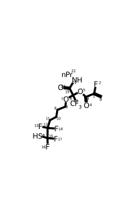 C=C(F)C(=O)OC(OCCCCC(F)(F)C(F)(F)S)(C(=O)NCCC)C(F)(F)F